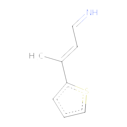 C/C(=C\C=N)c1cccs1